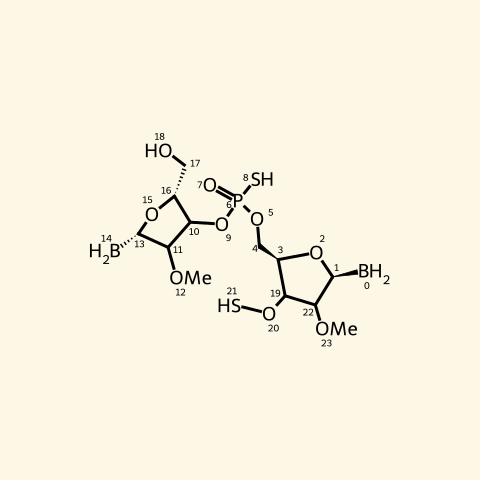 B[C@@H]1O[C@H](COP(=O)(S)OC2C(OC)[C@H](B)O[C@@H]2CO)C(OS)C1OC